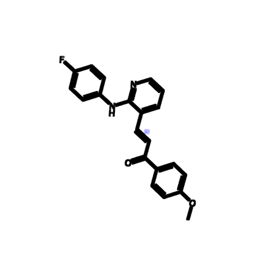 COc1ccc(C(=O)/C=C/c2cccnc2Nc2ccc(F)cc2)cc1